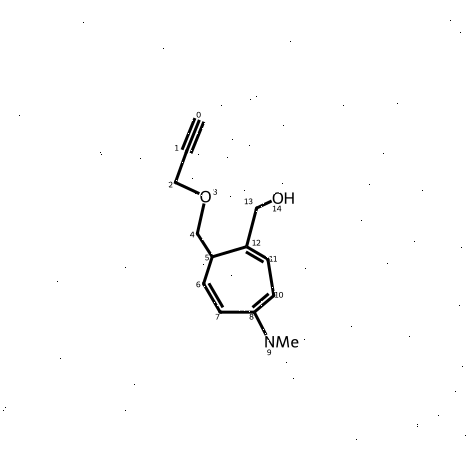 C#CCOCC1C=CC(NC)=CC=C1CO